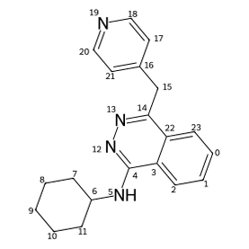 c1ccc2c(NC3CCCCC3)nnc(Cc3ccncc3)c2c1